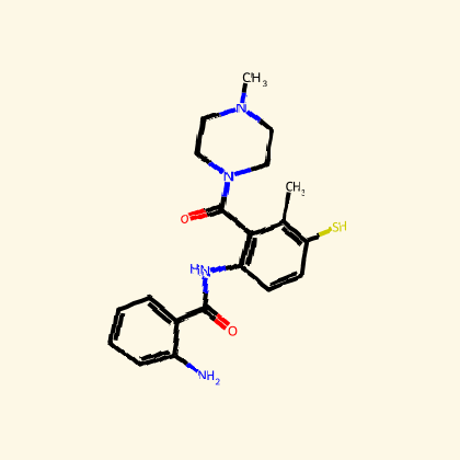 Cc1c(S)ccc(NC(=O)c2ccccc2N)c1C(=O)N1CCN(C)CC1